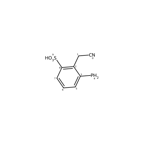 N#CCc1c(P)cccc1S(=O)(=O)O